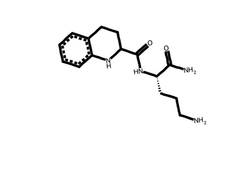 NCCC[C@H](NC(=O)C1CCc2ccccc2N1)C(N)=O